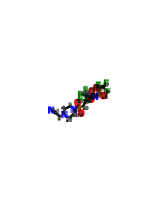 N#CCN1CCN(S(=O)(=O)CC(F)(F)C(F)(F)S(=O)(=O)NS(=O)(=O)C(F)(F)F)CC1